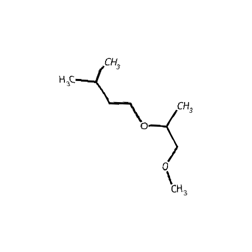 COCC(C)OCCC(C)C